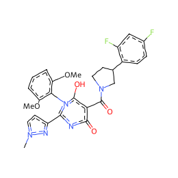 COc1cccc(OC)c1-n1c(-c2ccn(C)n2)nc(=O)c(C(=O)N2CCC(c3ccc(F)cc3F)C2)c1O